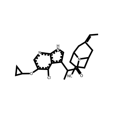 CC=C1CC2CC(C#N)CC(C1)N2C(=O)C(C)c1c[nH]c2ncc(OC3CC3)c(Cl)c12